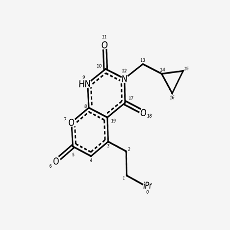 CC(C)CCc1cc(=O)oc2[nH]c(=O)n(CC3CC3)c(=O)c12